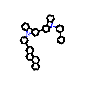 c1ccc(-c2cccc(-n3c4ccccc4c4cc(-c5ccc6c(c5)c5ccccc5n6-c5cccc(-c6ccc7c(ccc8c9ccccc9ccc78)c6)c5)ccc43)c2)cc1